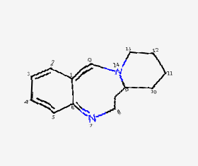 C1=c2ccccc2=NCC2CCCCN12